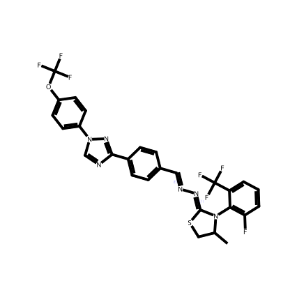 CC1CS/C(=N\N=C\c2ccc(-c3ncn(-c4ccc(OC(F)(F)F)cc4)n3)cc2)N1c1c(F)cccc1C(F)(F)F